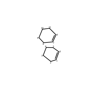 C1=CCCCC1.C1=CCCCC1